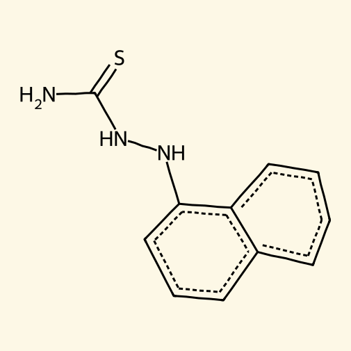 NC(=S)NNc1cccc2ccccc12